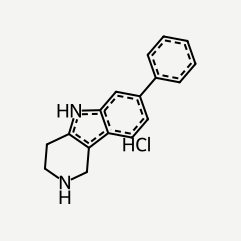 Cl.c1ccc(-c2ccc3c4c([nH]c3c2)CCNC4)cc1